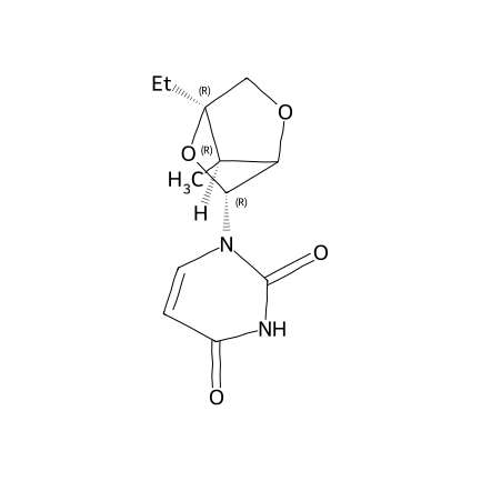 CC[C@@]12COC([C@H](n3ccc(=O)[nH]c3=O)O1)[C@H]2C